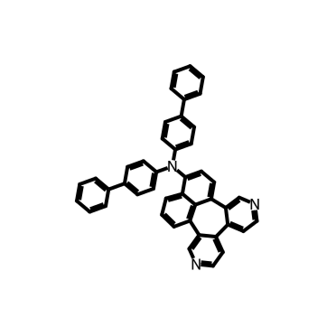 c1ccc(-c2ccc(N(c3ccc(-c4ccccc4)cc3)c3ccc4c5c(cccc35)-c3cnccc3-c3ccncc3-4)cc2)cc1